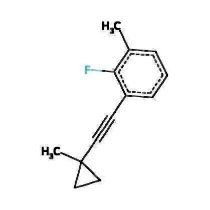 Cc1cccc(C#CC2(C)CC2)c1F